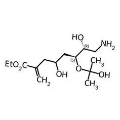 C=C(CC(O)C[C@H](OC(C)(C)O)[C@H](O)CN)C(=O)OCC